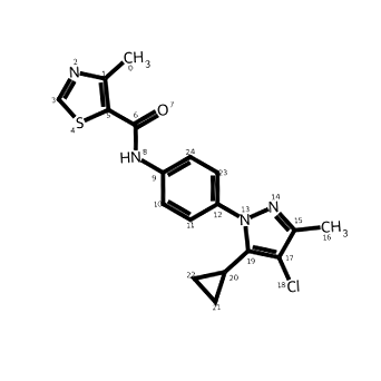 Cc1ncsc1C(=O)Nc1ccc(-n2nc(C)c(Cl)c2C2CC2)cc1